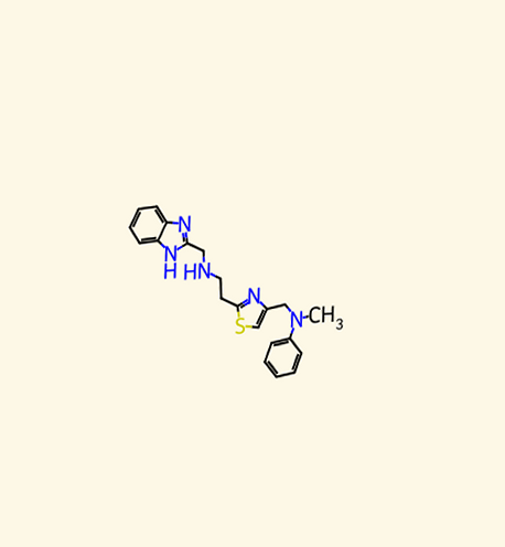 CN(Cc1csc(CCNCc2nc3ccccc3[nH]2)n1)c1ccccc1